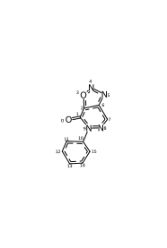 O=c1c2onnc2cnn1-c1ccccc1